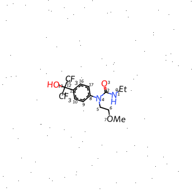 CCNC(=O)N(CCOC)c1ccc(C(O)(C(F)(F)F)C(F)(F)F)cc1